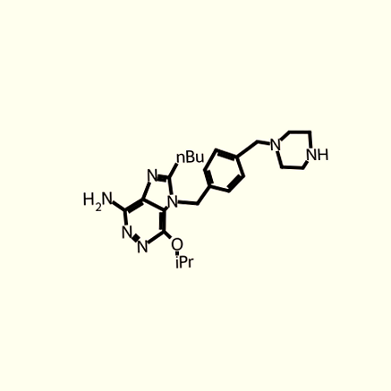 CCCCc1nc2c(N)nnc(OC(C)C)c2n1Cc1ccc(CN2CCNCC2)cc1